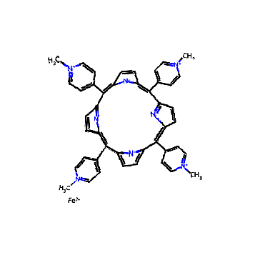 C[n+]1ccc(-c2c3nc(c(-c4cc[n+](C)cc4)c4ccc([n-]4)c(-c4cc[n+](C)cc4)c4nc(c(-c5cc[n+](C)cc5)c5ccc2[n-]5)C=C4)C=C3)cc1.[Fe+2]